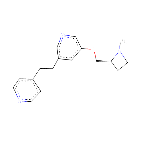 CN1CC[C@H]1COc1cncc(CCc2ccncc2)c1